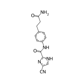 N#Cc1c[nH]c(C(=O)Nc2ccc(CCC(N)=O)cc2)n1